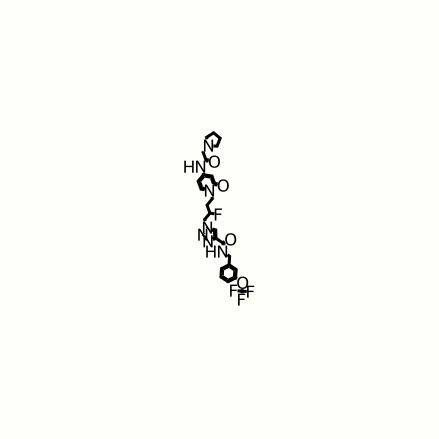 O=C(CN1CCCC1)Nc1ccn(CCC(F)Cn2cc(C(=O)NCc3cccc(OC(F)(F)F)c3)nn2)c(=O)c1